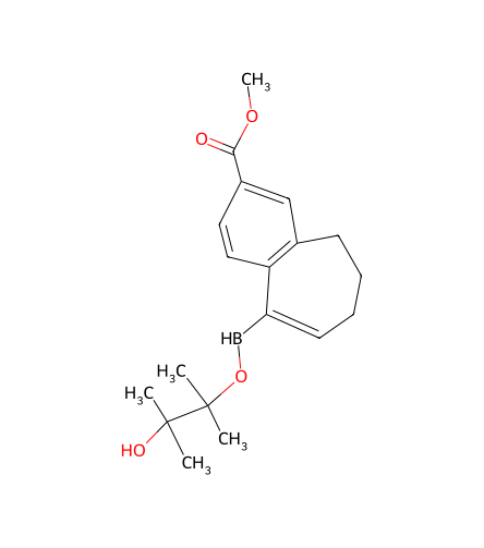 COC(=O)c1ccc2c(c1)CCCC=C2BOC(C)(C)C(C)(C)O